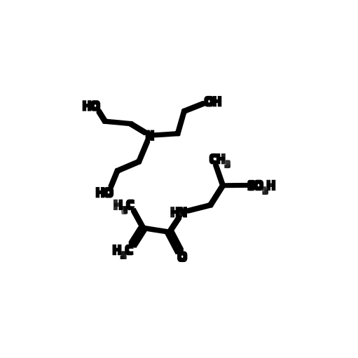 C=C(C)C(=O)NCC(C)S(=O)(=O)O.OCCN(CCO)CCO